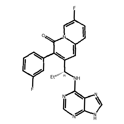 CC[C@@H](Nc1ncnc2[nH]cnc12)c1cc2ccc(F)cn2c(=O)c1-c1cccc(F)c1